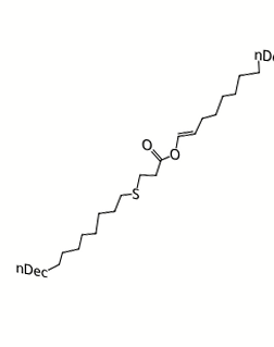 CCCCCCCCCCCCCCCCC=COC(=O)CCSCCCCCCCCCCCCCCCCCC